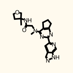 CN(CC(=O)NC1(C)CCOC1)c1nc(-c2cc3cn[nH]c3cn2)nc2c1CCC2